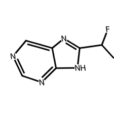 FC(F)c1nc2cncnc2[nH]1